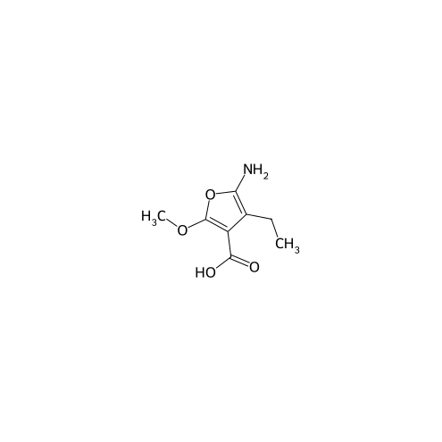 CCc1c(N)oc(OC)c1C(=O)O